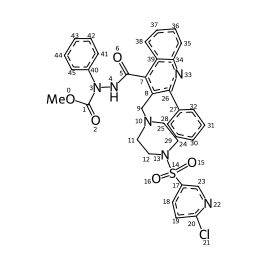 COC(=O)N(NC(=O)c1c(CN2CCN(S(=O)(=O)c3ccc(Cl)nc3)CC2)c(-c2ccccc2)nc2ccccc12)c1ccccc1